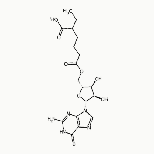 CCC(CCCC(=O)OC[C@H]1O[C@@H](n2cnc3c(=O)[nH]c(N)nc32)[C@H](O)[C@@H]1O)C(=O)O